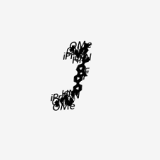 COC(=O)N[C@H](C(=O)N1CC2(CC2)C[C@H]1c1ncc(-c2ccc3c(c2)C(F)(F)c2cc(-c4ccc5nc([C@@H]6CCCN6C(=O)[C@@H](NC(=O)OC)C(C)C)[nH]c5c4)ccc2-3)[nH]1)C(C)C